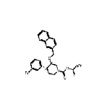 CCCC(F)OC(=O)N1CC[C@H](c2cccc(Br)c2)[C@@H](OCc2ccc3ccccc3c2)C1